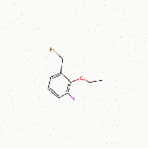 CCOc1c(I)cccc1CBr